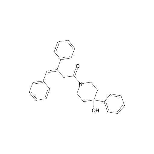 O=C(C/C(=C\c1ccccc1)c1ccccc1)N1CCC(O)(c2ccccc2)CC1